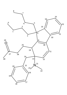 CCCCC1(CCCC)C2=C(C=CC(Cc3ccccc3)(N(C)C)C2CCC(C)=O)c2ccccc21